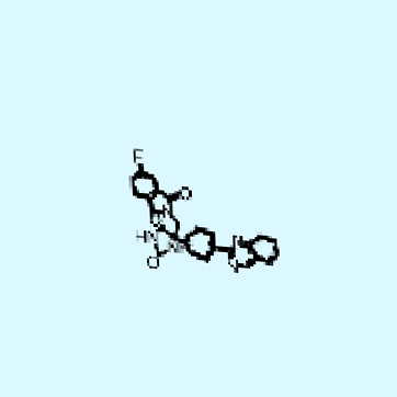 O=C1NC(=O)C(CN2Cc3ccc(F)cc3C2=O)(c2ccc(-c3ncc4ccccc4n3)cc2)N1